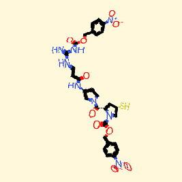 N=C(NCCC(=O)N[C@H]1CCN(C(=O)[C@@H]2C[C@H](S)CN2C(=O)OCc2ccc([N+](=O)[O-])cc2)C1)NC(=O)OCc1ccc([N+](=O)[O-])cc1